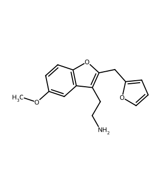 COc1ccc2oc(Cc3ccco3)c(CCN)c2c1